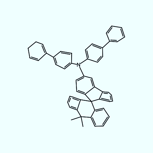 CC1(C)c2ccccc2C2(c3ccccc3-c3cc(N(c4ccc(C5=CCCC=C5)cc4)c4ccc(-c5ccccc5)cc4)ccc32)c2ccccc21